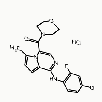 Cc1ccc2c(Nc3ccc(Cl)cc3F)ncc(C(=O)N3CCOCC3)n12.Cl